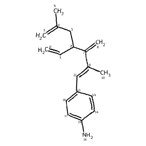 C=CC(CC(=C)C)C(=C)/C(C)=C/c1ccc(N)cc1